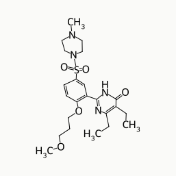 CCc1nc(-c2cc(S(=O)(=O)N3CCN(C)CC3)ccc2OCCCOC)[nH]c(=O)c1CC